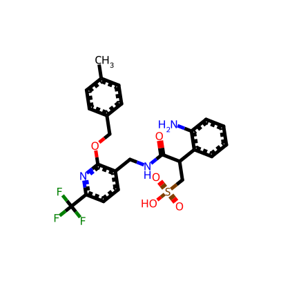 Cc1ccc(COc2nc(C(F)(F)F)ccc2CNC(=O)C(CS(=O)(=O)O)c2ccccc2N)cc1